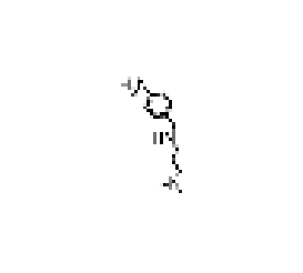 CN(C)CCCNCc1ccc(N)cc1